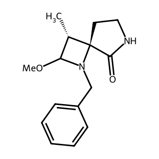 COC1[C@H](C)[C@@]2(CCNC2=O)N1Cc1ccccc1